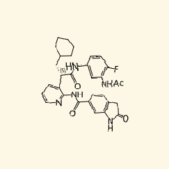 CC(=O)Nc1cc(NC(=O)[C@@H](CC2CCCCC2)c2cccnc2NC(=O)c2ccc3c(c2)NC(=O)C3)ccc1F